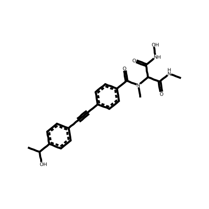 CNC(=O)C(C(=O)NO)N(C)C(=O)c1ccc(C#Cc2ccc(C(C)O)cc2)cc1